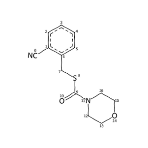 N#Cc1ccccc1CSC(=O)N1CCOCC1